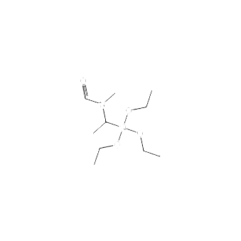 CCO[Si](OCC)(OCC)C(C)N(C)C=O